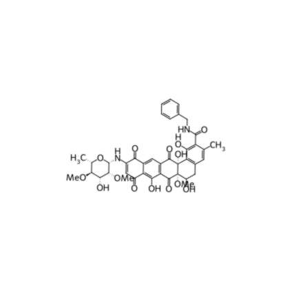 CO[C@@H]1[C@@H](O)[C@@H](OC)[C@@H](NC2=CC(=O)c3c(cc4c(c3O)C(=O)[C@]3(OC)[C@H](O)Cc5cc(C)c(C(=O)NCc6ccccc6)c(O)c5[C@]3(O)C4=O)C2=O)O[C@H]1C